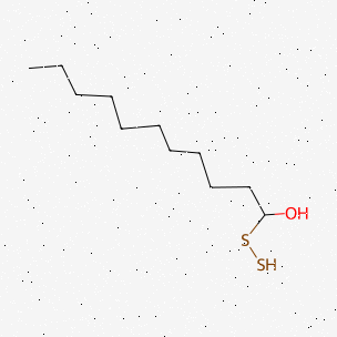 CCCCCCCCCCC(O)SS